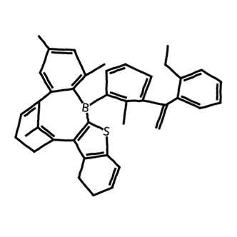 C=C(c1ccccc1CC)c1cccc(B2c3sc4c(c3C3=C(C)C(=CCC3)c3cc(C)cc(C)c32)CCC=C4)c1C